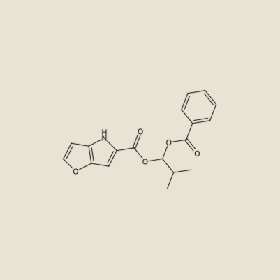 CC(C)C(OC(=O)c1ccccc1)OC(=O)c1cc2occc2[nH]1